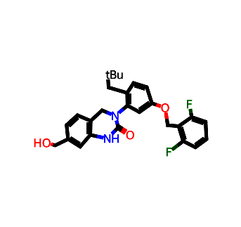 CC(C)(C)Cc1ccc(OCc2c(F)cccc2F)cc1N1Cc2ccc(CO)cc2NC1=O